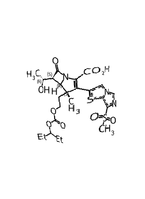 CCC(CC)OC(=O)OCC[C@@]1(C)C(c2cn3cnc(S(C)(=O)=O)c3s2)=C(C(=O)O)N2C(=O)[C@H]([C@@H](C)O)[C@@H]21